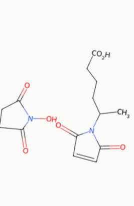 CC(CCCC(=O)O)N1C(=O)C=CC1=O.O=C1CCC(=O)N1O